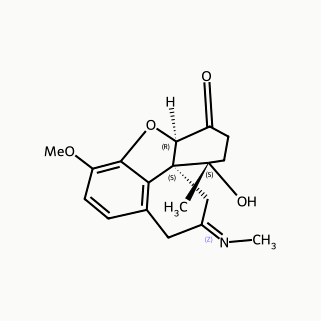 C/N=C1/Cc2ccc(OC)c3c2[C@@]2(C1)[C@@H](O3)C(=O)CC[C@]2(C)O